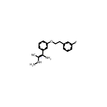 N#C/C(NN)=C(/N)c1cccc(OCCc2cccc(F)c2)c1